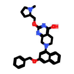 CN1CCCC1COc1nc(O)c2c(n1)CN(c1cc(OCc3ccccc3)cc3ccccc13)CC2